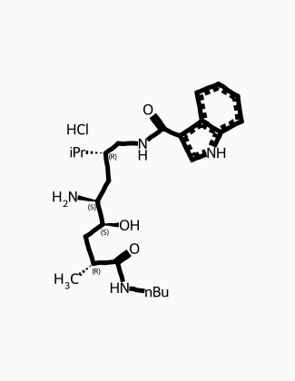 CCCCNC(=O)[C@H](C)C[C@H](O)[C@@H](N)C[C@@H](CNC(=O)c1c[nH]c2ccccc12)C(C)C.Cl